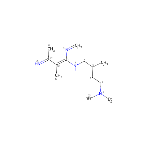 C=N/C(NCC(C)CCN(CC)CCC)=C(/C)C(C)=N